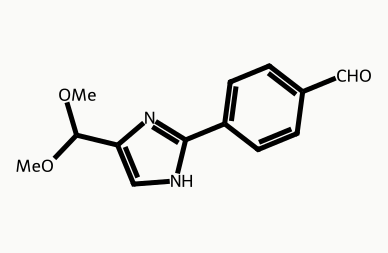 COC(OC)c1c[nH]c(-c2ccc(C=O)cc2)n1